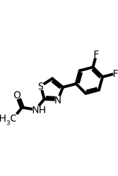 CC(=O)Nc1nc(-c2ccc(F)c(F)c2)cs1